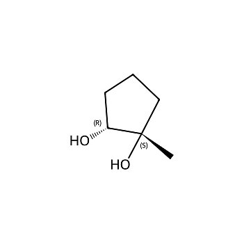 C[C@]1(O)CCC[C@H]1O